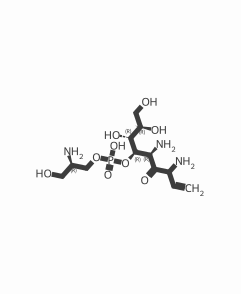 C=CC(N)C(=O)[C@H](N)[C@@H](OP(=O)(O)OC[C@H](N)CO)[C@H](O)[C@H](O)CO